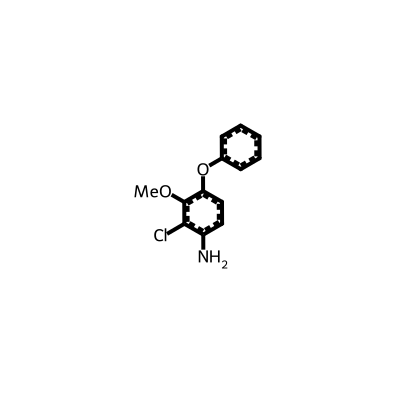 COc1c(Oc2ccccc2)ccc(N)c1Cl